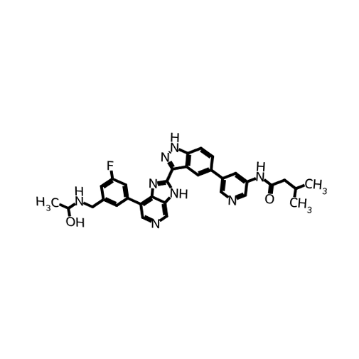 CC(C)CC(=O)Nc1cncc(-c2ccc3[nH]nc(-c4nc5c(-c6cc(F)cc(CNC(C)O)c6)cncc5[nH]4)c3c2)c1